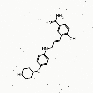 N=C(N)c1ccc(O)c(C=CCNc2ccc(OC3CCNCC3)cc2)c1